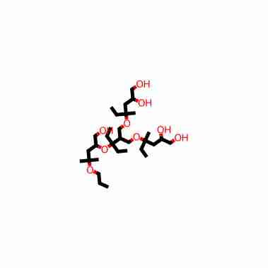 CCCOC(C)(C)CC(CO)OC(CC)(CC)C(COC(C)(CC)CC(O)CO)COC(C)(CC)CC(O)CO